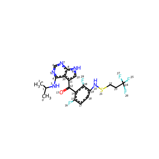 CC(C)Nc1ncnc2[nH]cc(C(=O)c3c(F)ccc(NSCCC(F)(F)F)c3F)c12